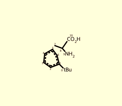 CC(C)(C)c1ccccc1.CC(N)C(=O)O